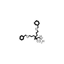 NCC1(C(=O)O)CC1(CCCOCc1ccccc1)CCCOCc1ccccc1